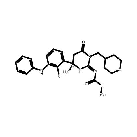 CC(C)(C)OC(=O)N=C1N[C@](C)(c2cccc(Nc3ccccc3)c2Cl)CC(=O)N1CC1CCOCC1